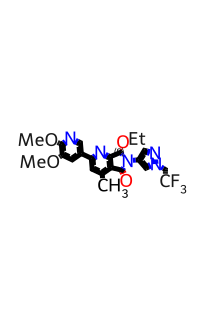 CCO[C@H]1c2nc(-c3cnc(OC)c(OC)c3)cc(C)c2C(=O)N1c1cnn(CC(F)(F)F)c1